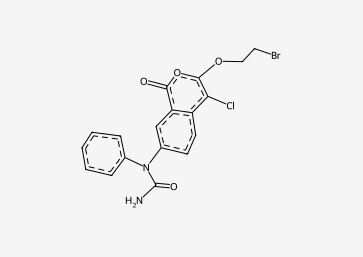 NC(=O)N(c1ccccc1)c1ccc2c(Cl)c(OCCBr)oc(=O)c2c1